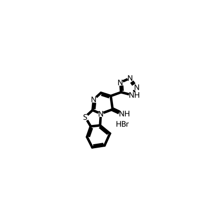 Br.N=c1c(-c2nnn[nH]2)cnc2sc3ccccc3n12